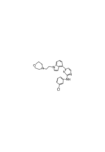 Clc1cccc(Nc2nccc(-c3cccc4c3ccn4CCN3CCOCC3)n2)c1